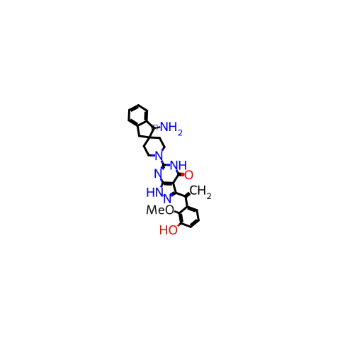 C=C(c1cccc(O)c1OC)c1n[nH]c2nc(N3CCC4(CC3)Cc3ccccc3[C@H]4N)[nH]c(=O)c12